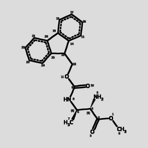 COC(=O)[C@@H](N)[C@@H](C)NC(=O)OCC1c2ccccc2-c2ccccc21